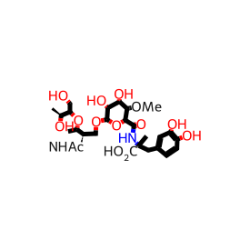 COC1C(C(=O)N[C@](C)(Cc2ccc(O)c(O)c2)C(=O)O)OC(OC[C@H](NC(C)=O)C(C)OC(CO)[C@H](C)O)C(O)C1O